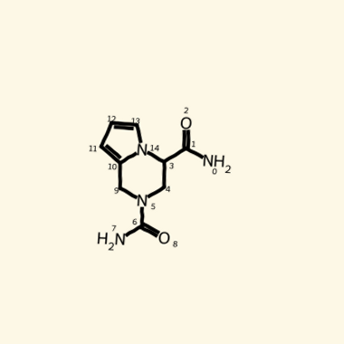 NC(=O)C1CN(C(N)=O)Cc2cccn21